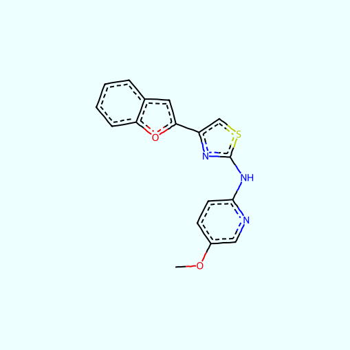 COc1ccc(Nc2nc(-c3cc4ccccc4o3)cs2)nc1